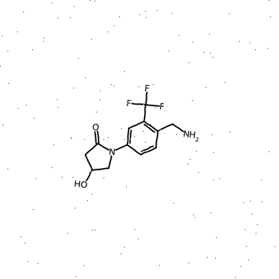 NCc1ccc(N2CC(O)CC2=O)cc1C(F)(F)F